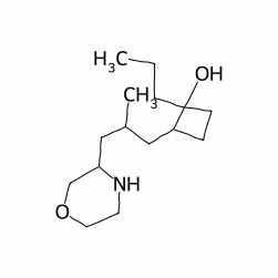 CCCC1(O)CCC1CC(C)CC1COCCN1